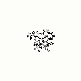 CC(C)[C@H](NC(=O)C(F)(F)F)C(=O)N1C[C@H]2[C@@H]([C@H]1C(=O)NC(C(N)=O)c1nncc3ccccc13)C2(C)C